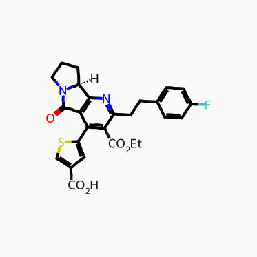 CCOC(=O)c1c(CCc2ccc(F)cc2)nc2c(c1-c1cc(C(=O)O)cs1)C(=O)N1CCC[C@@H]21